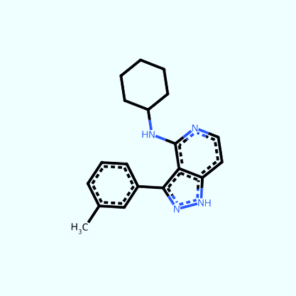 Cc1cccc(-c2n[nH]c3ccnc(NC4CCCCC4)c23)c1